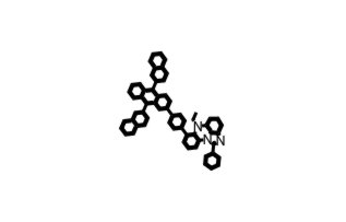 CCN1c2c(-c3ccc(-c4ccc5c(-c6ccc7ccccc7c6)c6ccccc6c(-c6ccc7ccccc7c6)c5c4)cc3)cccc2-n2c(-c3ccccc3)nc3cccc1c32